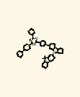 CC1(C)c2ccccc2-c2ccc(-n3c4ccccc4c4ccc(-c5ccc(-c6nc(-c7ccccc7)nc(-c7ccc(-c8ccccc8)cc7)n6)cc5)cc43)cc21